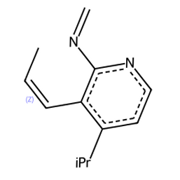 C=Nc1nccc(C(C)C)c1/C=C\C